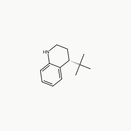 CC(C)(C)[C@H]1CCNc2ccccc21